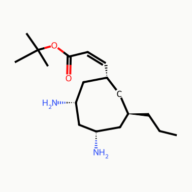 CCC[C@H]1C[C@H](N)C[C@H](N)C[C@H](/C=C\C(=O)OC(C)(C)C)C1